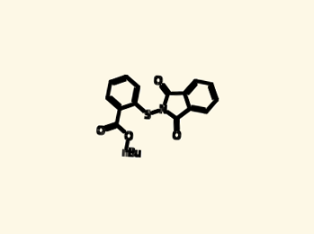 CCCCOC(=O)c1ccccc1SN1C(=O)c2ccccc2C1=O